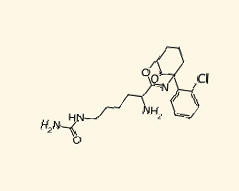 NC(=O)NCCCCC(N)C1=NC2(c3ccccc3Cl)CCCC(O1)C2=O